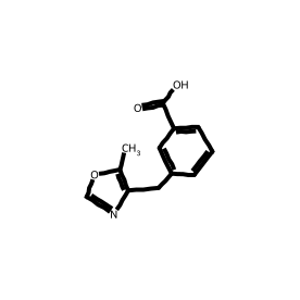 Cc1ocnc1Cc1cccc(C(=O)O)c1